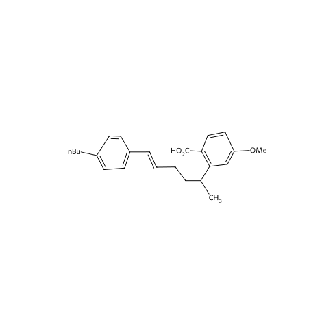 CCCCc1ccc(C=CCCC(C)c2cc(OC)ccc2C(=O)O)cc1